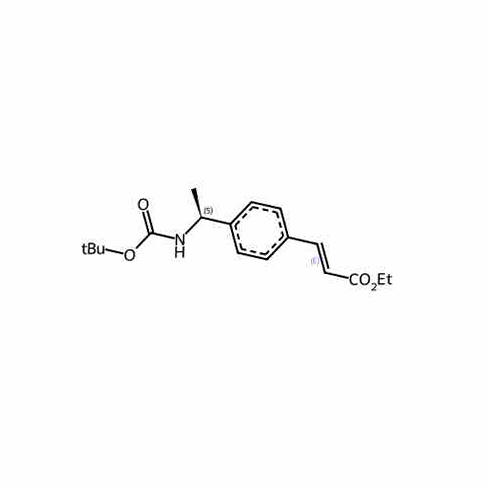 CCOC(=O)/C=C/c1ccc([C@H](C)NC(=O)OC(C)(C)C)cc1